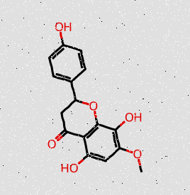 COc1cc(O)c2c(c1O)OC(c1ccc(O)cc1)CC2=O